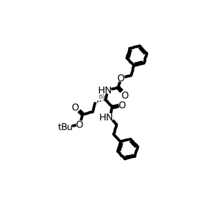 CC(C)(C)OC(=O)CC[C@H](NC(=O)OCc1ccccc1)C(=O)NCCc1ccccc1